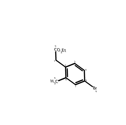 CCOC(=O)Cc1ccc(Br)cc1C